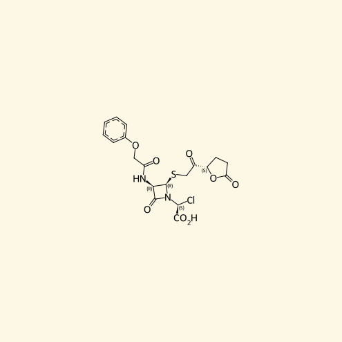 O=C(COc1ccccc1)N[C@@H]1C(=O)N([C@@H](Cl)C(=O)O)[C@@H]1SCC(=O)[C@@H]1CCC(=O)O1